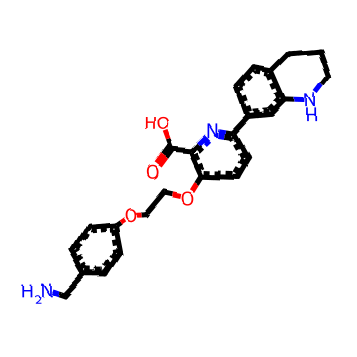 NCc1ccc(OCCOc2ccc(-c3ccc4c(c3)NCCC4)nc2C(=O)O)cc1